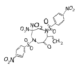 C=CC1C(=O)CN(S(=O)(=O)c2ccc([N+](=O)[O-])cc2)CC([N+](=O)[O-])([N+](=O)[O-])CN1S(=O)(=O)c1ccc([N+](=O)[O-])cc1